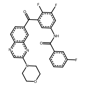 O=C(Nc1cc(F)c(F)c(C(=O)c2ccc3ncc(N4CCOCC4)nc3c2)c1)c1cccc(F)c1